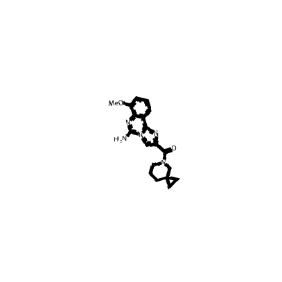 COc1cccc2c1nc(N)n1cc(C(=O)N3CCCC4(CC4)C3)nc21